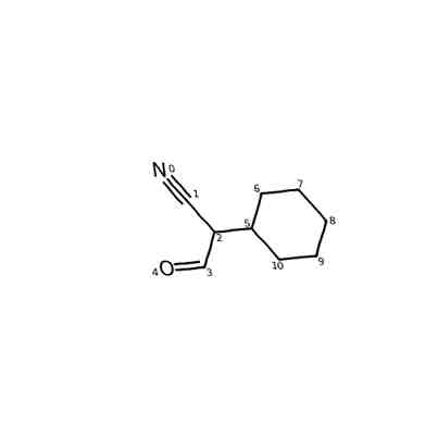 N#CC(C=O)C1CCCCC1